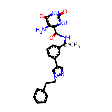 C[C@@H](NC(=O)c1[nH]c(=O)[nH]c(=O)c1N)c1cccc(-c2cnn(CCc3ccccc3)c2)c1